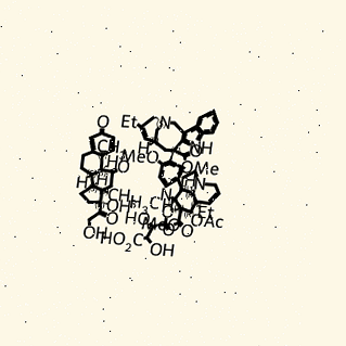 CCC1=C[C@@H]2C[N@](C1)Cc1c([nH]c3ccccc13)[C@@](C(=O)OC)(c1cc3c(cc1OC)N(C)[C@H]1[C@@](OC(=O)C(O)C(O)C(=O)O)(C(=O)OC)[C@H](OC(C)=O)[C@]4(CC)C=CCN5CC[C@]31[C@@H]54)C2.C[C@]12C=CC(=O)C=C1CC[C@@H]1[C@@H]2C(=O)C[C@@]2(C)[C@H]1CC[C@]2(O)C(=O)CO